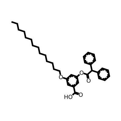 CCCCCCCCCCCCCCOc1cc(OC(=O)C(c2ccccc2)c2ccccc2)cc(C(=O)O)c1